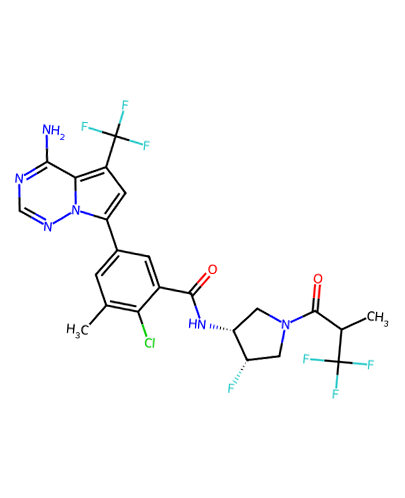 Cc1cc(-c2cc(C(F)(F)F)c3c(N)ncnn23)cc(C(=O)N[C@@H]2CN(C(=O)C(C)C(F)(F)F)C[C@@H]2F)c1Cl